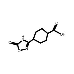 O=C(O)C1CCC(c2noc(=O)[nH]2)CC1